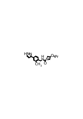 Cc1cc(-c2cc[nH]n2)ccc1CNC(=O)N1CC(OC(C)C)C1